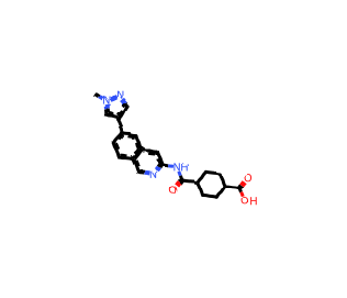 Cn1cc(-c2ccc3cnc(NC(=O)C4CCC(C(=O)O)CC4)cc3c2)cn1